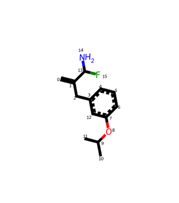 C=C(Cc1cccc(OC(C)C)c1)C(N)F